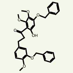 COc1ccc(CCC(=O)c2c(O)cc(OCc3ccccc3)c(OC)c2OC)cc1OCc1ccccc1